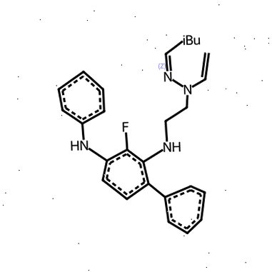 C=CN(CCNc1c(-c2ccccc2)ccc(Nc2ccccc2)c1F)/N=C\C(C)CC